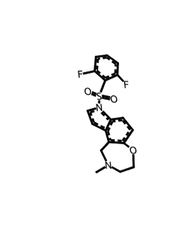 CN1CCOc2ccc3c(ccn3S(=O)(=O)c3c(F)cccc3F)c2C1